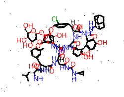 CN[C@H](CC(C)C)C(=O)N[C@H]1C(=O)N[C@@H](CC(=O)NC(=O)NC2CC2)C(=O)N[C@H]2C(=O)N[C@H]3C(=O)N[C@H](C(=O)N[C@H](C(=O)NC4C5CC6CC(C5)CC4C6)c4cc(O)cc(O)c4-c4cc3ccc4O)[C@H](O)c3ccc(c(Cl)c3)Oc3cc2cc(c3O[C@@H]2O[C@H](CO)[C@@H](O)[C@H](O)[C@H]2O[C@H]2C[C@](C)(N)[C@H](O)[C@H](C)O2)Oc2ccc(cc2C)[C@H]1O